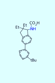 CCC1(CC)Cc2cc(-c3cccc(C(C)(C)C)c3)ccc2C1NC(=O)O